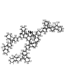 CC1(C)c2ccccc2-c2ccc(-n3c4ccccc4c4cc(-c5ccc6c(c5)c5ccccc5n6-c5ccc6c(-n7c8ccccc8c8cc(-c9ccc%10c(c9)c9ccccc9n%10-c9ccc%10c(c9)C(C)(C)c9ccccc9-%10)ccc87)nnc(-n7c8ccccc8c8cc(-c9ccc%10c(c9)c9ccccc9n%10-c9ccc%10c(c9)C(C)(C)c9ccccc9-%10)ccc87)c6c5)ccc43)cc21